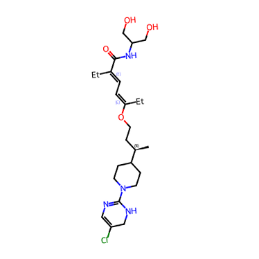 CC/C(=C\C=C(/CC)C(=O)NC(CO)CO)OCC[C@@H](C)C1CCN(C2=NC=C(Cl)CN2)CC1